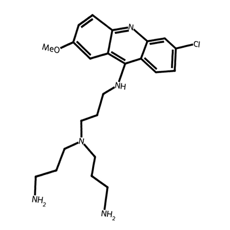 COc1ccc2nc3cc(Cl)ccc3c(NCCCN(CCCN)CCCN)c2c1